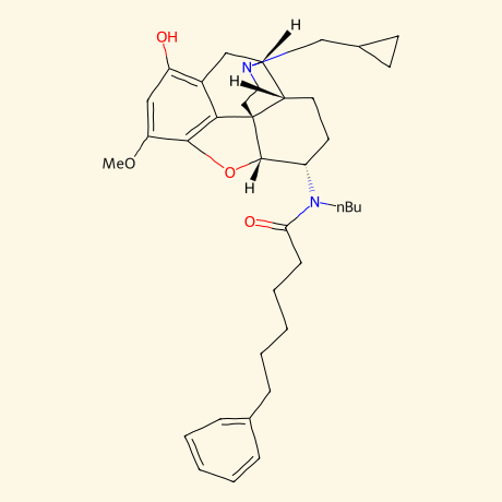 CCCCN(C(=O)CCCCCc1ccccc1)[C@H]1CC[C@H]2[C@H]3Cc4c(O)cc(OC)c5c4[C@@]2(CCN3CC2CC2)[C@H]1O5